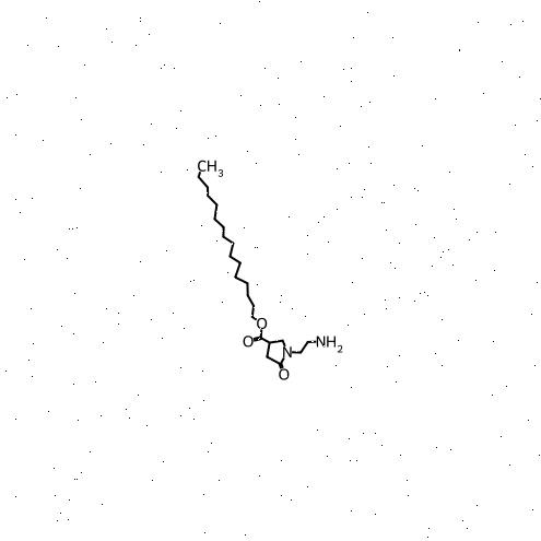 CCCCCCCCCCCCCCCCOC(=O)C1CC(=O)N(CCN)C1